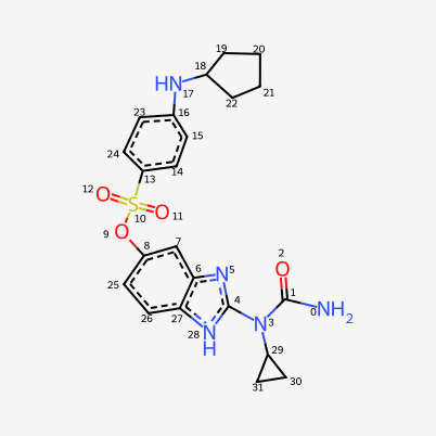 NC(=O)N(c1nc2cc(OS(=O)(=O)c3ccc(NC4CCCC4)cc3)ccc2[nH]1)C1CC1